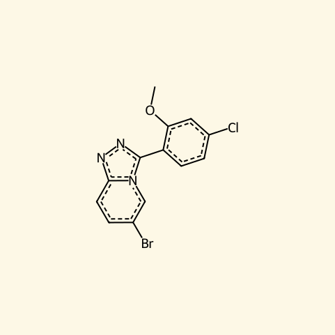 COc1cc(Cl)ccc1-c1nnc2ccc(Br)cn12